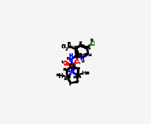 CC(C)(C)OC(=O)N1[C@@H]2CC[C@H]1CC(Nc1ncc(Cl)cc1[N+](=O)[O-])C2